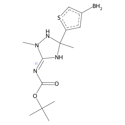 Bc1csc(C2(C)N/C(=N\C(=O)OC(C)(C)C)N(C)N2)c1